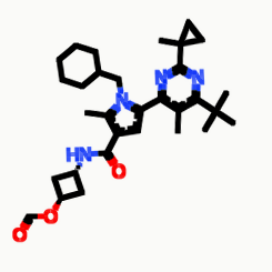 Cc1c(-c2cc(C(=O)N[C@H]3C[C@H](OC=O)C3)c(C)n2CC2CCCCC2)nc(C2(C)CC2)nc1C(C)(C)C